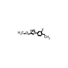 CCOCc1cn(-c2ccc(CC)c(F)c2)nn1